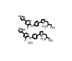 Cl.NC(CO)Cn1ccc(-c2ccc(Oc3ncc(-c4cc[nH]n4)cc3F)cc2)n1.NC(CO)Cn1ccc(-c2ccc(Oc3ncc(-c4ccn[nH]4)cc3F)cc2)n1